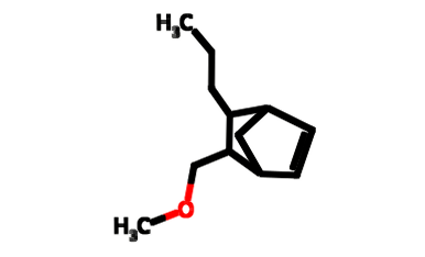 CCCC1C2C=CC(C2)C1COC